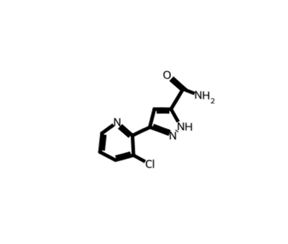 NC(=O)c1cc(-c2ncccc2Cl)n[nH]1